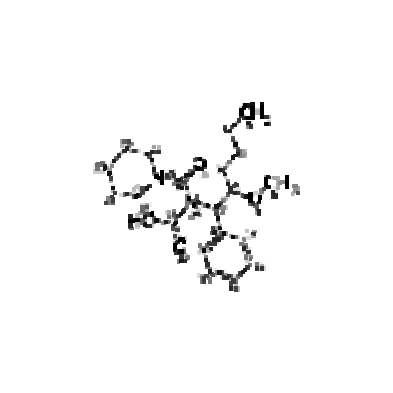 CCCCC(OC)C(c1ccccc1)N(C(=O)O)C(=O)N1CCCCC1